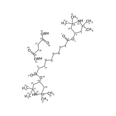 CC1(C)CC(OC(=O)CCCCCCCCC(=O)OC2CC(C)(C)NC(C)(C)C2)CC(C)(C)N1.COC(=O)CCC(=O)OC